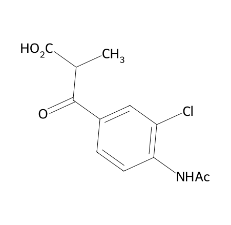 CC(=O)Nc1ccc(C(=O)C(C)C(=O)O)cc1Cl